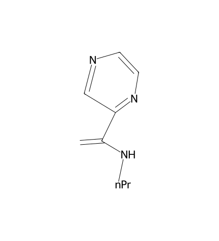 C=C(NCCC)c1cnccn1